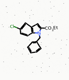 CCOC(=O)c1cc2cc(Cl)ccc2n1Cc1ccccc1